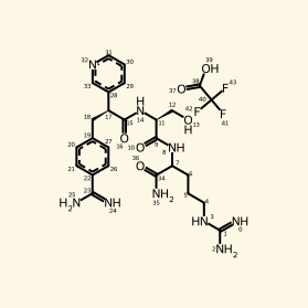 N=C(N)NCCCC(NC(=O)[C@H](CO)NC(=O)[C@@H](Cc1ccc(C(=N)N)cc1)c1cccnc1)C(N)=O.O=C(O)C(F)(F)F